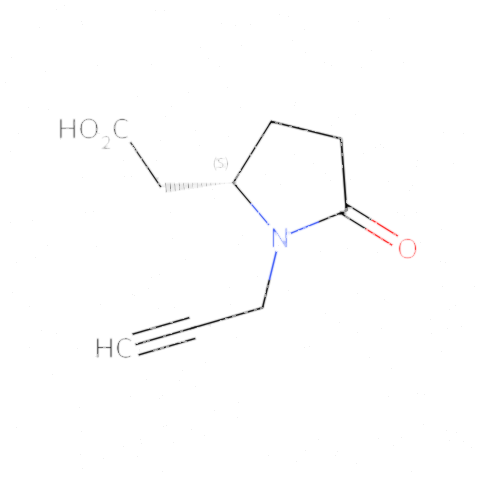 C#CCN1C(=O)CC[C@H]1CC(=O)O